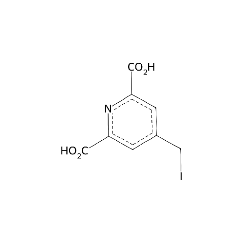 O=C(O)c1cc(CI)cc(C(=O)O)n1